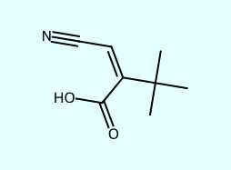 CC(C)(C)C(=CC#N)C(=O)O